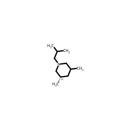 CC(C)CN1CC(C)C[C@H](C)C1